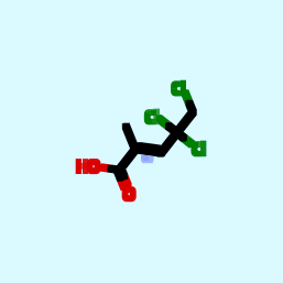 C/C(=C\C(Cl)(Cl)CCl)C(=O)O